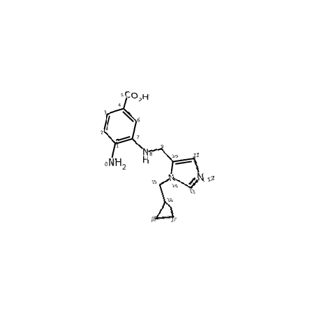 Nc1ccc(C(=O)O)cc1NCc1cncn1CC1CC1